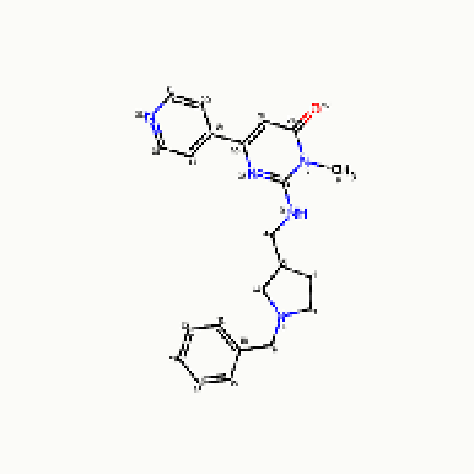 Cn1c(NCC2CCN(Cc3ccccc3)C2)nc(-c2ccncc2)cc1=O